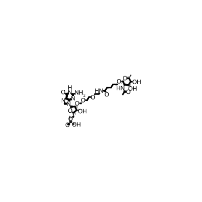 CC(=O)N[C@@H]1[C@@H](OCCCCC(=O)NCCOCCOCO[C@@H]2[C@H](O)[C@@H](CO[PH](=O)O)O[C@H]2n2cnc3c(=O)[nH]c(N)nc32)O[C@@H](C)C(O)[C@H]1O